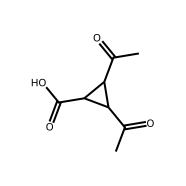 CC(=O)C1C(C(C)=O)C1C(=O)O